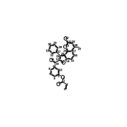 C=CC(=O)Oc1cccc(C(=O)c2oc3ccc4c(C)cc(=O)oc4c3c2-c2ccccc2)c1